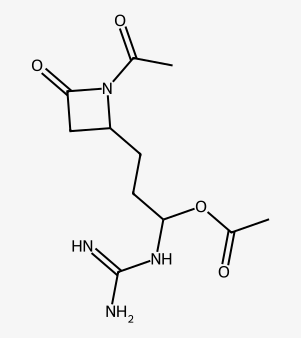 CC(=O)OC(CCC1CC(=O)N1C(C)=O)NC(=N)N